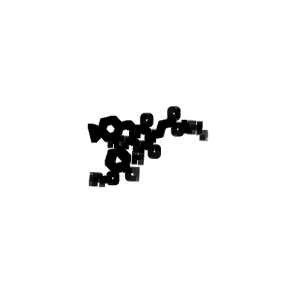 CC(C)Oc1ccc(NC2NC(=O)N(CCC(=O)ON)C(=O)N2CC2CCC3(CC2)CC3)cc1Cl